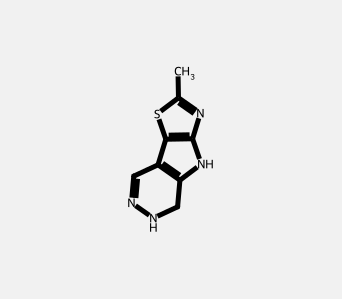 Cc1nc2[nH]c3c(c2s1)C=NNC3